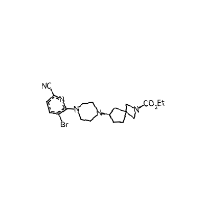 CCOC(=O)N1CC2(CC[C@@H](N3CCN(c4nc(C#N)ccc4Br)CC3)C2)C1